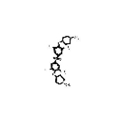 Cc1cc(S(=O)(=O)c2cc(C)c(OC3CCN(C)CC3)c(C)c2)cc(C)c1OC1CCN(C)CC1